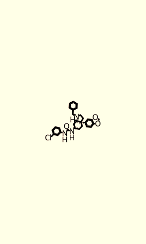 O=C(Nc1cccc(Cl)c1)N[C@H]1CC[C@@]2(c3ccc4c(c3)OCO4)CCN(Cc3ccccc3)[C@H]2C1